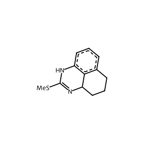 CSC1=NC2CCCc3cccc(c32)N1